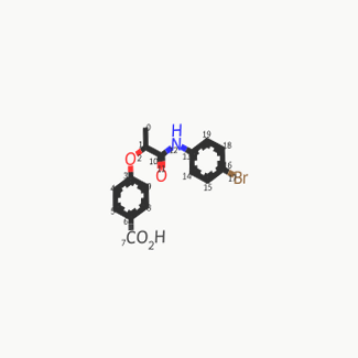 CC(Oc1ccc(C(=O)O)cc1)C(=O)Nc1ccc(Br)cc1